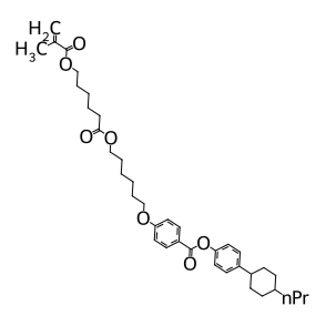 C=C(C)C(=O)OCCCCCC(=O)OCCCCCCOc1ccc(C(=O)Oc2ccc(C3CCC(CCC)CC3)cc2)cc1